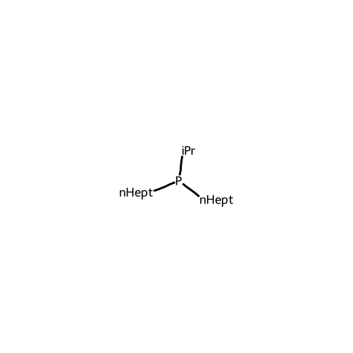 CCCCCCCP(CCCCCCC)C(C)C